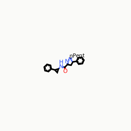 CCCCCN1N=C(C(=O)NC2CC2c2ccccc2)CC1c1ccccc1